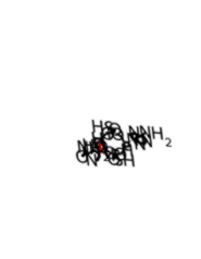 NC(=O)c1cc([C@@H]2O[C@@H]3CO[P@](=O)(S)OCC4[C@@H](CO[P@](=O)(S)O[C@@H]2[C@@H]3O)C[C@H]4n2cnc3c(N)ncnc32)ccn1